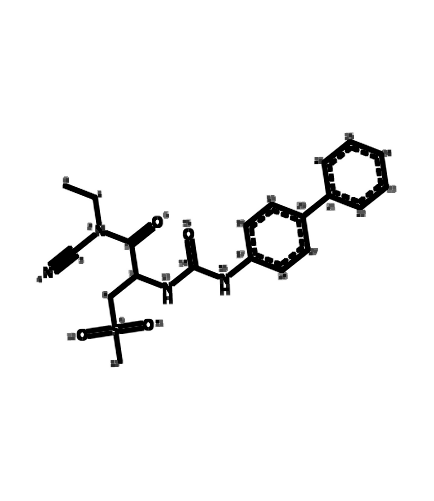 CCN(C#N)C(=O)C(CS(C)(=O)=O)NC(=O)Nc1ccc(-c2ccccc2)cc1